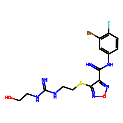 N=C(NCCO)NCCSc1nonc1C(=N)Nc1ccc(F)c(Br)c1